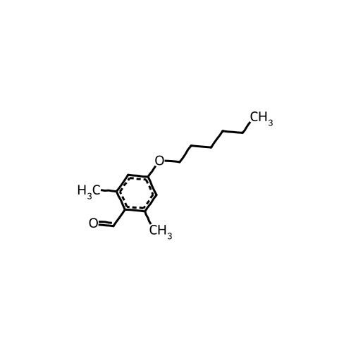 CCCCCCOc1cc(C)c(C=O)c(C)c1